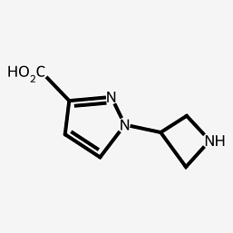 O=C(O)c1ccn(C2CNC2)n1